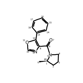 C[C@@H]1CCCN1C(=O)c1ncoc1-c1ccccc1